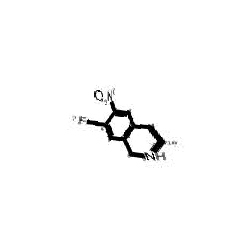 O=[N+]([O-])c1cc2c(cc1F)CNCC2